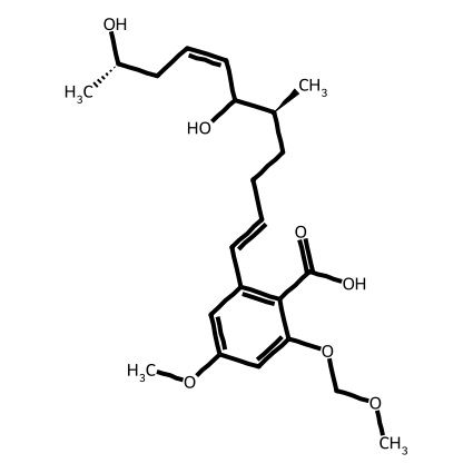 COCOc1cc(OC)cc(/C=C/CC[C@H](C)C(O)/C=C\C[C@H](C)O)c1C(=O)O